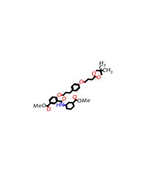 COC(=O)c1ccc(OCCCc2ccc(OCCCC3OCC(C)(C)CO3)cc2)c(C(=O)NC2CCCC(C(=O)OC)C2)c1